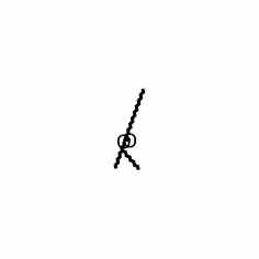 CCCCCCCCCCCCCCCCCC(=O)OCCC(CCCCCC)CCCCCCCC